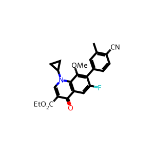 CCOC(=O)c1cn(C2CC2)c2c(OC)c(-c3ccc(C#N)c(C)c3)c(F)cc2c1=O